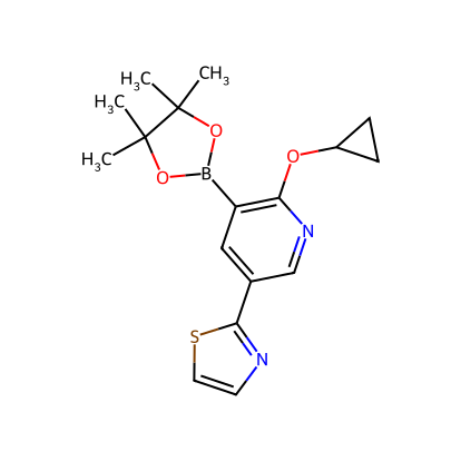 CC1(C)OB(c2cc(-c3nccs3)cnc2OC2CC2)OC1(C)C